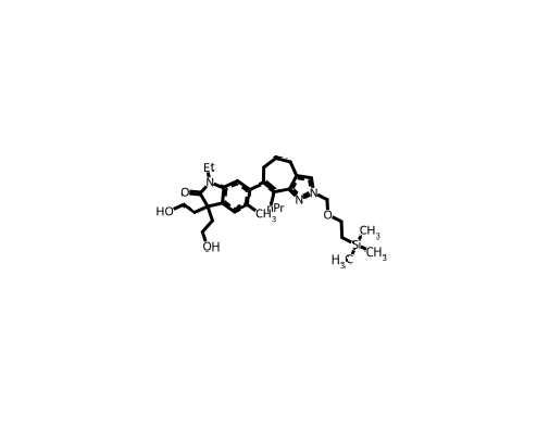 CCCC1=C(c2cc3c(cc2C)C(CCO)(CCO)C(=O)N3CC)CCCc2cn(COCC[Si](C)(C)C)nc21